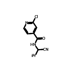 CC(C)C(C#N)NC(=O)c1ccnc(Cl)c1